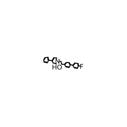 OC(CN1CC=C(c2ccccc2)CC1)c1ccc(-c2ccc(F)cc2)cc1